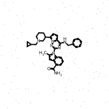 Cc1cc2c(C(N)=O)cccc2n1-c1nc(NCc2ccccc2)c2ccc(C3CCCN(CC4CC4)C3)n2n1